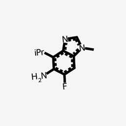 CC(C)c1c(N)c(F)cc2c1ncn2C